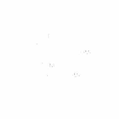 COc1cc(-c2cc(F)c(F)cc2NS(=O)(=O)c2ccccc2)cc(OC)c1C